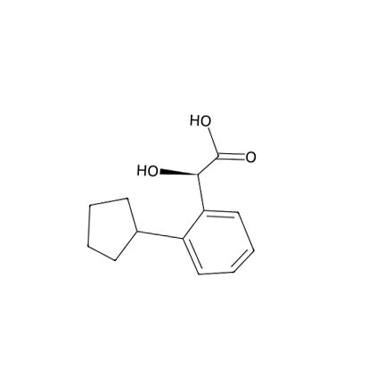 O=C(O)[C@H](O)c1ccccc1C1CCCC1